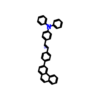 C(=C\c1ccc(N(c2ccccc2)c2ccccc2)cc1)/c1ccc(-c2ccc3ccc4ccccc4c3c2)cc1